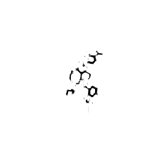 C=CC(=O)N1CCOc2nn(-c3ccc(C(C)C)c(O)n3)c3c2C(C1)N(C(=O)c1ccc(Br)c2[nH]cnc12)CC3